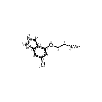 CNCCOc1cc(Cl)cc2[nH]ncc12